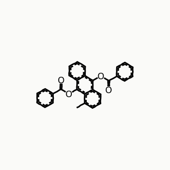 Cc1cccc2c(OC(=O)c3ccccc3)c3ccccc3c(OC(=O)c3ccccc3)c12